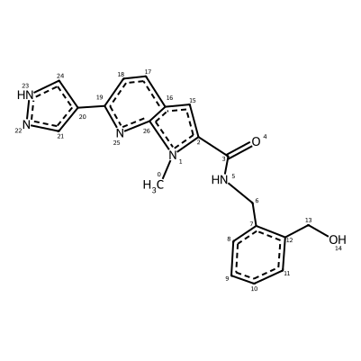 Cn1c(C(=O)NCc2ccccc2CO)cc2ccc(-c3cn[nH]c3)nc21